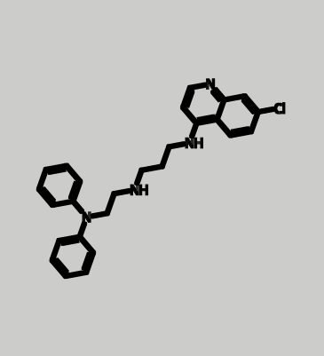 Clc1ccc2c(NCCCNCCN(c3ccccc3)c3ccccc3)ccnc2c1